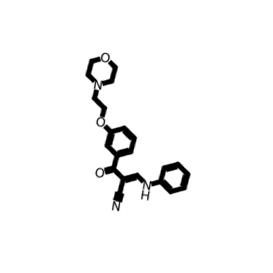 N#C/C(=C\Nc1ccccc1)C(=O)c1cccc(OCCN2CCOCC2)c1